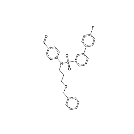 O=Nc1ccc(N(CCCOCc2ccccc2)S(=O)(=O)c2cccc(-c3ccc(F)cc3)c2)cc1